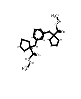 COOC(=O)C1(Cc2cccc(CC3(C(=O)OOC)CCCC3)c2)CCCC1